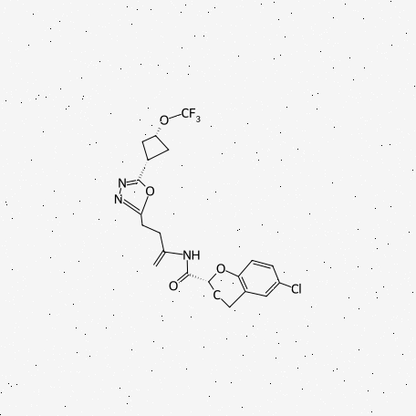 C=C(CCc1nnc([C@H]2C[C@@H](OC(F)(F)F)C2)o1)NC(=O)[C@H]1CCc2cc(Cl)ccc2O1